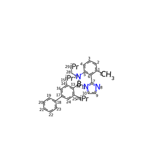 Cc1cccc2c1-c1nccn1B(c1c(C(C)C)cc(-c3ccccc3)cc1C(C)C)N2CC(C)C